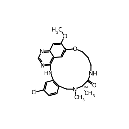 COc1cc2ncnc3c2cc1OCCCNC(=O)[C@H](C)N(C)Cc1ccc(Cl)cc1N3